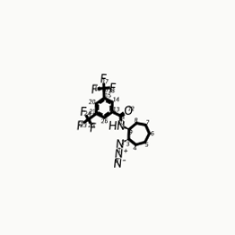 [N-]=[N+]=N[C@H]1CCCCC[C@@H]1NC(=O)c1cc(C(F)(F)F)cc(C(F)(F)F)c1